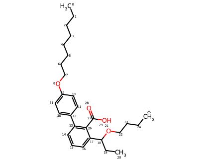 CCCCCCCCOc1ccc(-c2cccc(C(CC)OCCCC)c2C(=O)O)cc1